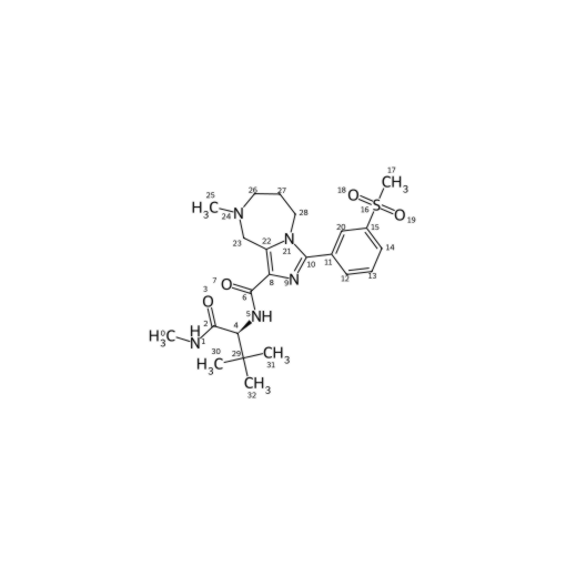 CNC(=O)[C@@H](NC(=O)c1nc(-c2cccc(S(C)(=O)=O)c2)n2c1CN(C)CCC2)C(C)(C)C